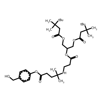 CC(C)(CCC(=O)Oc1ccc(CO)cc1)PCCC(=O)OC(COC(=O)CC(C)(C)C(C)(C)C)COC(=O)CC(C)(C)C(C)(C)C